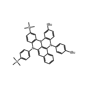 CC(C)(C)c1ccc(N2c3ccc(C(C)(C)C)cc3B3c4cc([Si](C)(C)C)ccc4N(c4ccc([Si](C)(C)C)cc4)c4cc5ccccc5c2c43)cc1